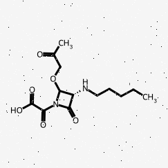 CCCCCN[C@@H]1C(=O)N(C(=O)C(=O)O)C1OCC(C)=O